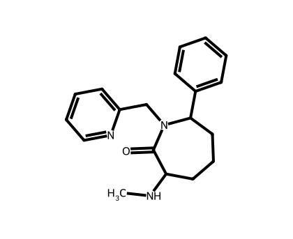 CNC1CCCC(c2ccccc2)N(Cc2ccccn2)C1=O